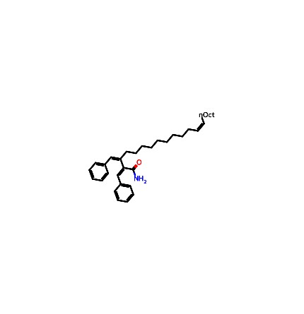 CCCCCCCC/C=C\CCCCCCCCCC(=Cc1ccccc1)C(=Cc1ccccc1)C(N)=O